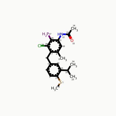 CSc1ccc(Cc2c(C)cc(NC(C)=O)c(P)c2Cl)cc1C(C)C